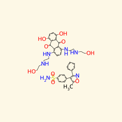 Cc1onc(-c2ccccc2)c1-c1ccc(S(N)(=O)=O)cc1.O=C1c2c(O)ccc(O)c2C(=O)c2c(NCCNCCO)ccc(NCCNCCO)c21